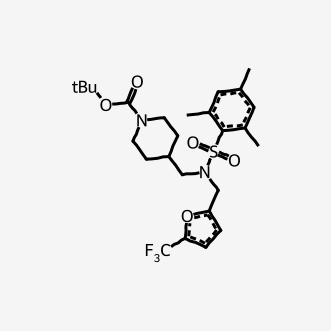 Cc1cc(C)c(S(=O)(=O)N(Cc2ccc(C(F)(F)F)o2)CC2CCN(C(=O)OC(C)(C)C)CC2)c(C)c1